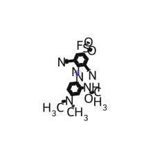 CCN(CC)c1ccc(/N=N/c2c(C#N)cc(S(=O)(=O)F)cc2C#N)c(NC(C)=O)c1